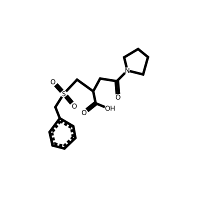 O=C(O)C(CC(=O)N1CCCC1)CS(=O)(=O)Cc1ccccc1